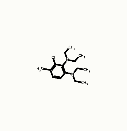 CCN(CC)c1ccc([SiH3])c(Cl)c1N(CC)CC